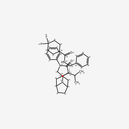 CC(C)N1C(=O)N(c2ccccc2)CC12CC1CCC(C2)N1CC[C@H](NC(=O)C1CCC(F)(F)CC1)c1ccccc1